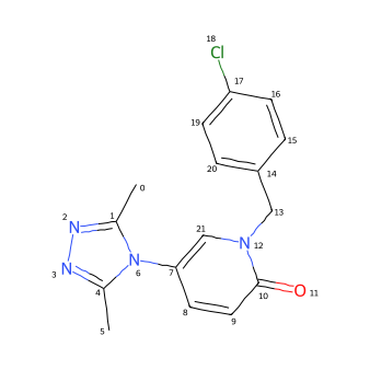 Cc1nnc(C)n1-c1ccc(=O)n(Cc2ccc(Cl)cc2)c1